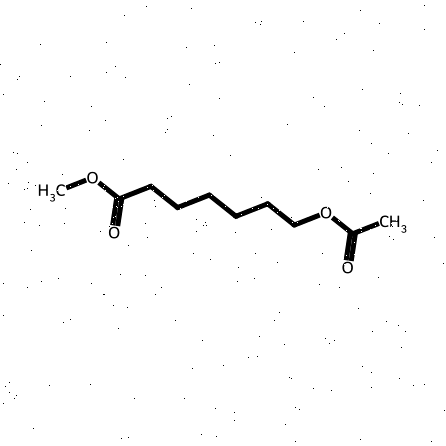 COC(=O)CCCCCCOC(C)=O